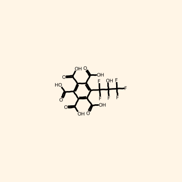 O=C(O)c1c(C(=O)O)c(C(=O)O)c(C(F)(F)C(O)(F)C(F)(F)F)c(C(=O)O)c1C(=O)O